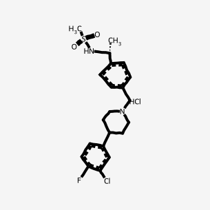 C[C@@H](NS(C)(=O)=O)c1ccc(CN2CCC(c3ccc(F)c(Cl)c3)CC2)cc1.Cl